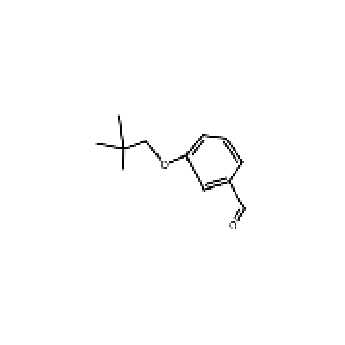 CC(C)(C)COc1cccc([C]=O)c1